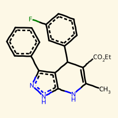 CCOC(=O)C1=C(C)Nc2[nH]nc(-c3ccccc3)c2C1c1cccc(F)c1